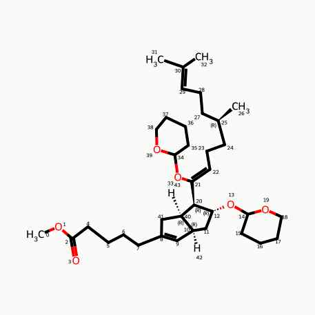 COC(=O)CCCCC1=C[C@@H]2C[C@@H](OC3CCCCO3)[C@H](C(=CCC[C@H](C)CCC=C(C)C)OC3CCCCO3)[C@@H]2C1